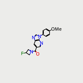 COc1ccc(-n2cnc3cc(C(=O)N4CC(F)C4)cnc32)cc1